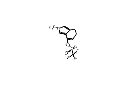 Cn1cc2c(c1)C(OS(=O)(=O)C(F)(F)F)=CCC2